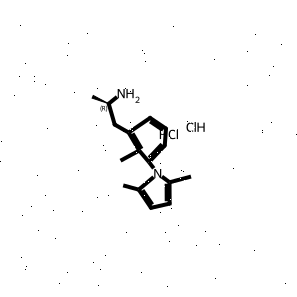 Cc1c(C[C@@H](C)N)cccc1-n1c(C)ccc1C.Cl.Cl